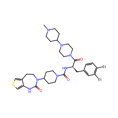 CCc1ccc(C[C@@H](NC(=O)N2CCC(N3CCc4cscc4NC3=O)CC2)C(=O)N2CCN(C3CCN(C)CC3)CC2)cc1CC